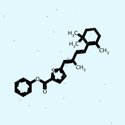 CC1=C(C=C/C(C)=C/c2ccc(C(=O)Oc3ccccc3)s2)C(C)(C)CCC1